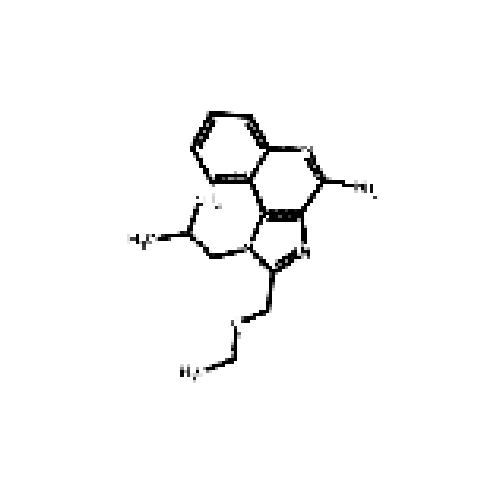 CCOCc1nc2c(N)nc3ccccc3c2n1CC(C)C